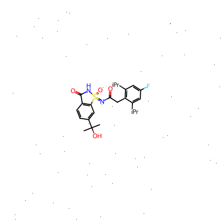 CC(C)c1cc(F)cc(C(C)C)c1CC(=O)N=S1(=O)NC(=O)c2ccc(C(C)(C)O)cc21